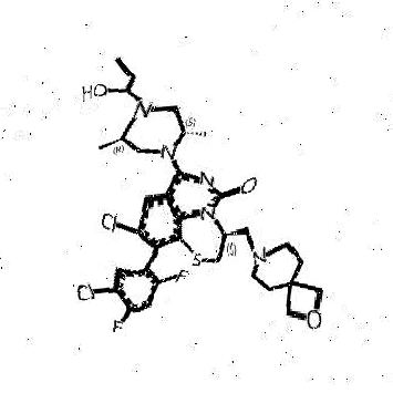 C=CC(O)N1C[C@H](C)N(c2nc(=O)n3c4c(c(-c5cc(Cl)c(F)cc5F)c(Cl)cc24)SC[C@@H]3CN2CCC3(CC2)COC3)C[C@H]1C